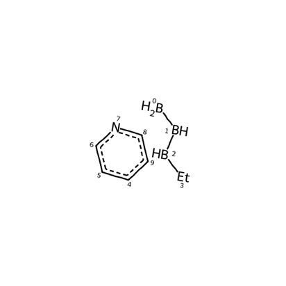 BBBCC.c1ccncc1